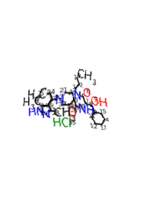 CCCCN1C(=O)[C@@H]([C@H](O)C2CCCCC2)NC(=O)C12CCN(C(CC)c1c(C)n[nH]c1C)CC2.Cl